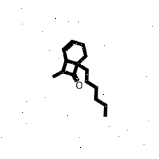 CCCCCCC12CCC=CC1C(C)C2=O